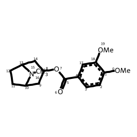 COc1ccc(C(=O)OC2CC3CCC(C2)N3C)cc1OC